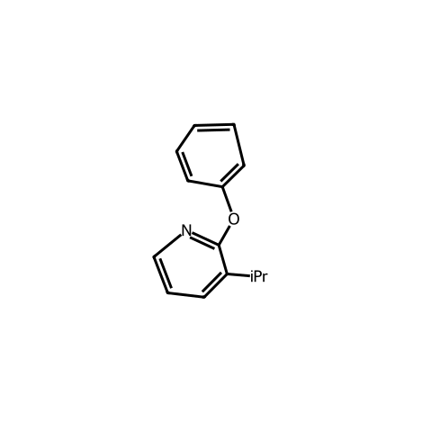 CC(C)c1cccnc1Oc1ccccc1